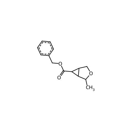 CC1OCC2C(C(=O)OCc3ccccc3)C12